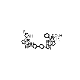 CN(C(=O)O)[C@@H](C(=O)N1CCC[C@H]1c1ncc(-c2ccc(-c3ccc(-c4cnc([C@@H]5CCCN5C(=O)[C@H]5C[C@@H](F)CN5)[nH]4)cc3)cc2)[nH]1)c1ccccc1